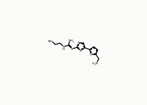 CC(C)(C)CCN/C(N)=N/c1nc(-c2ccc(CN)o2)cs1